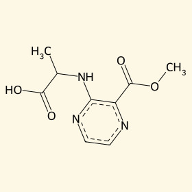 COC(=O)c1nccnc1NC(C)C(=O)O